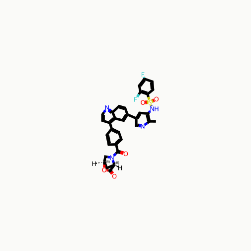 Cc1ncc(-c2ccc3nccc(-c4ccc(C(=O)N5C[C@H]6C[C@@H]5C(=O)O6)cc4)c3c2)cc1NS(=O)(=O)c1ccc(F)cc1F